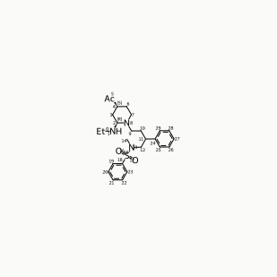 CCN[C@H]1C[C@@H](C(C)=O)CCN1CCC(CN(C)S(=O)(=O)c1ccccc1)c1ccccc1